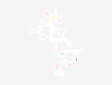 C[C@H](F)[C@@H](Cc1oc2c(S(C)(=O)=O)nc(Cl)nc2c1Br)NC(=O)OC(C)(C)C